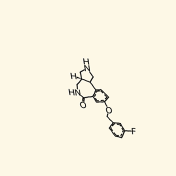 O=C1NC[C@@H]2CNCC2c2ccc(OCc3cccc(F)c3)cc21